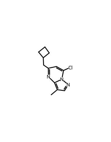 Cc1cnn2c(Cl)cc(CC3CCC3)nc12